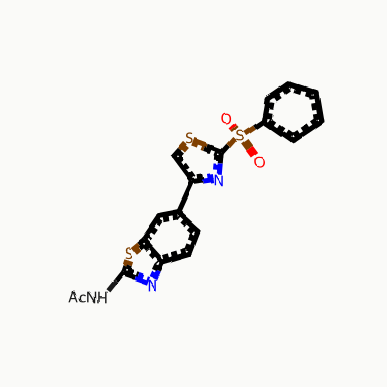 CC(=O)Nc1nc2ccc(-c3csc(S(=O)(=O)c4ccccc4)n3)cc2s1